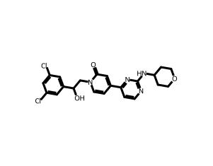 O=c1cc(-c2ccnc(NC3CCOCC3)n2)ccn1CC(O)c1cc(Cl)cc(Cl)c1